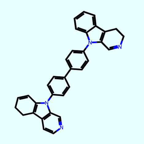 C1=Cc2c(c3ccncc3n2-c2ccc(-c3ccc(-n4c5c(c6ccccc64)CCN=C5)cc3)cc2)CC1